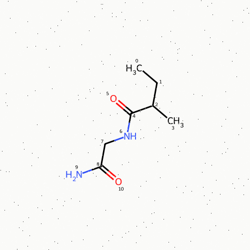 CCC(C)C(=O)NCC(N)=O